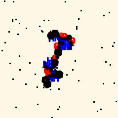 CN[C@@H](C)C(=O)N[C@@H](Cc1ccc(OCc2ccc(C(=O)N[C@H]3C[C@@H](C(=O)N[C@@H]4CCCc5ccccc54)N(C(=O)[C@@H](NC(=O)[C@H](C)NC)C(C)(C)C)C3)cc2)cc1)C(=O)N1Cc2ccccc2C[C@H]1C(=O)NC1CCCc2ccccc21